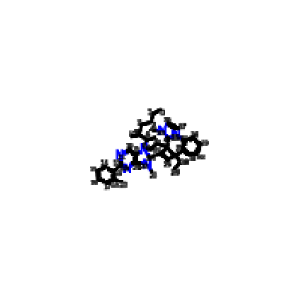 CCCCC(C)C(C)N1c2cnc(-c3ccccc3C)nc2N(C)C1C1=CC2(CC)c3ccccc3N3C=CN(C)C3C12CC